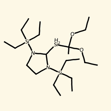 CCOC(C)(OCC)[SiH2]C1N([Si](CC)(CC)CC)CCN1[Si](CC)(CC)CC